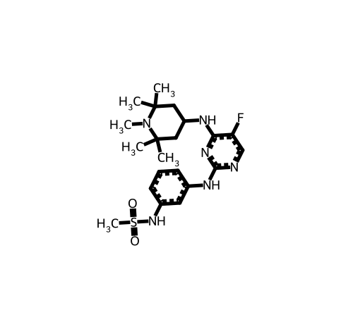 CN1C(C)(C)CC(Nc2nc(Nc3cccc(NS(C)(=O)=O)c3)ncc2F)CC1(C)C